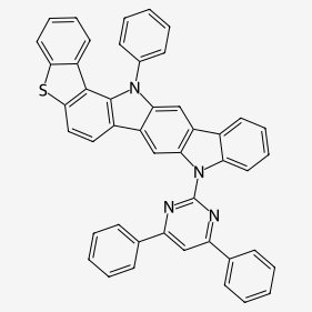 c1ccc(-c2cc(-c3ccccc3)nc(-n3c4ccccc4c4cc5c(cc43)c3ccc4sc6ccccc6c4c3n5-c3ccccc3)n2)cc1